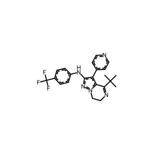 CC(C)(C)C1=NCCn2nc(Nc3ccc(C(F)(F)F)cc3)c(-c3ccncc3)c21